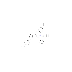 C/C(=C(/OCc1cn(-c2ccc(Cl)cc2Cl)nn1)c1ccc(Cl)cc1Cl)n1ccnc1